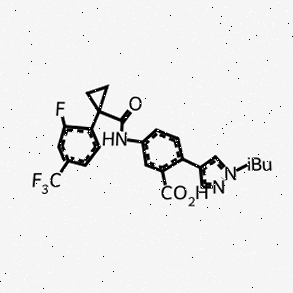 CCC(C)n1cc(-c2ccc(NC(=O)C3(c4ccc(C(F)(F)F)cc4F)CC3)cc2C(=O)O)cn1